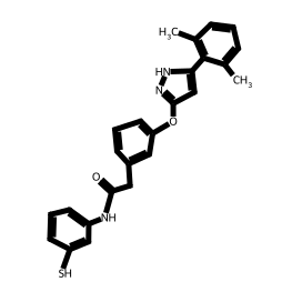 Cc1cccc(C)c1-c1cc(Oc2cccc(CC(=O)Nc3cccc(S)c3)c2)n[nH]1